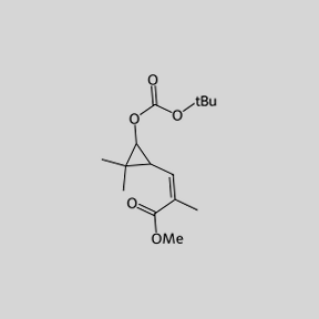 COC(=O)C(C)=CC1C(OC(=O)OC(C)(C)C)C1(C)C